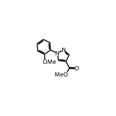 COC(=O)c1cnn(-c2ccccc2OC)c1